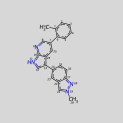 Cc1ccccc1-c1cnc2[nH]cc(-c3ccc4nn(C)cc4c3)c2c1